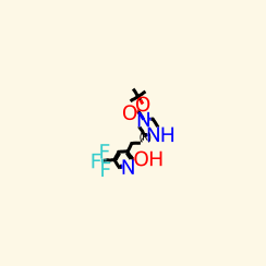 CC(C)(C)OC(=O)N1CCN[C@H](CCc2cc(C(F)(F)F)cnc2O)C1